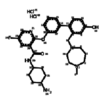 CN1CCCN(Cc2cc(O)ccc2-c2cccc(Oc3ncc(F)cc3C(=O)NC3CCC(N)CC3)c2)CC1.Cl.Cl